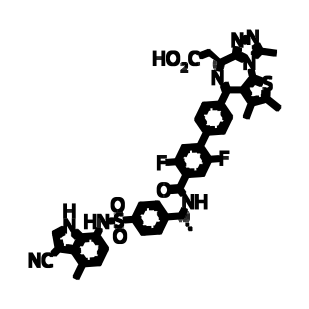 Cc1sc2c(c1C)C(c1ccc(-c3cc(F)c(C(=O)N[C@H](C)c4ccc(S(=O)(=O)Nc5ccc(C)c6c(C#N)c[nH]c56)cc4)cc3F)cc1)=N[C@@H](CC(=O)O)c1nnc(C)n1-2